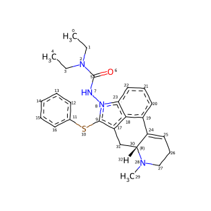 CCN(CC)C(=O)Nn1c(Sc2ccccc2)c2c3c(cccc31)C1=CCCN(C)[C@@H]1C2